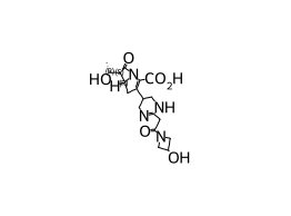 C[C@@H](O)[C@H]1C(=O)N2C(C(=O)O)=C(C3CN=C(CC(=O)N4CC(O)C4)NC3)C[C@H]12